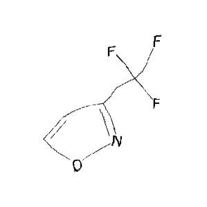 FC(F)(F)c1ccon1